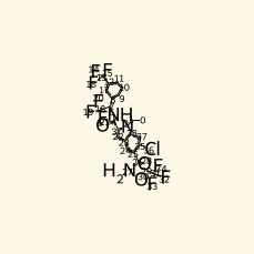 CCn1c(C(=O)NC(c2cccc(C(F)(F)F)c2)C(F)(F)F)cc2cc(C(N)OC(=O)C(F)(F)F)c(Cl)cc21